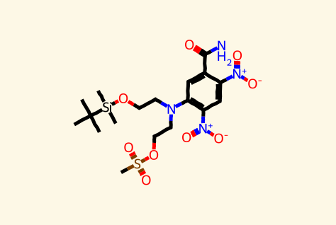 CC(C)(C)[Si](C)(C)OCCN(CCOS(C)(=O)=O)c1cc(C(N)=O)c([N+](=O)[O-])cc1[N+](=O)[O-]